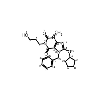 Cn1c(=O)n(CCCO)c(=O)c2c1nc(OC1CCCC1)n2Cc1ccccc1